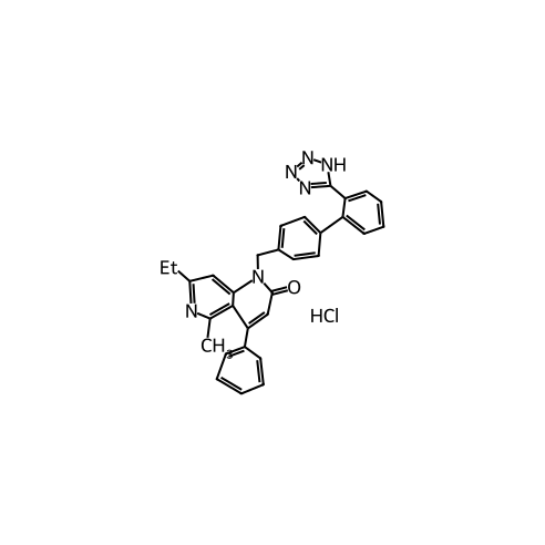 CCc1cc2c(c(-c3ccccc3)cc(=O)n2Cc2ccc(-c3ccccc3-c3nnn[nH]3)cc2)c(C)n1.Cl